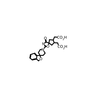 O=C(O)CC1CC2(CC1CC(=O)O)OC(N1CCC3(CC1)OCc1ccccc13)=NC2=O